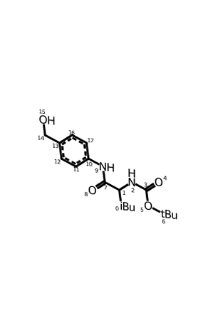 CCC(C)C(NC(=O)OC(C)(C)C)C(=O)Nc1ccc(CO)cc1